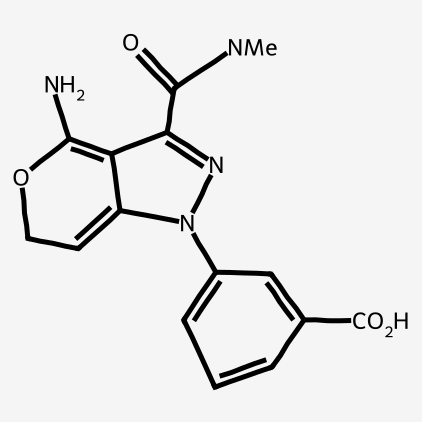 CNC(=O)c1nn(-c2cccc(C(=O)O)c2)c2c1=C(N)OCC=2